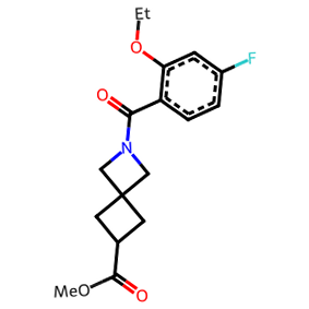 CCOc1cc(F)ccc1C(=O)N1CC2(CC(C(=O)OC)C2)C1